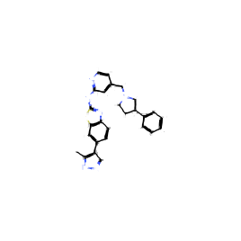 Cc1[nH]ncc1-c1ccc2nc(Nc3cc(CN4CCC(c5ccccc5)C4)ccn3)sc2c1